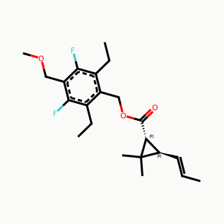 CC=C[C@@H]1[C@@H](C(=O)OCc2c(CC)c(F)c(COC)c(F)c2CC)C1(C)C